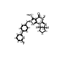 CSc1c2c(nn1Cc1ccc(-c3cccc(F)n3)cc1)N1C(=N[C@@H]3CCC[C@@H]31)N(C)C2=O